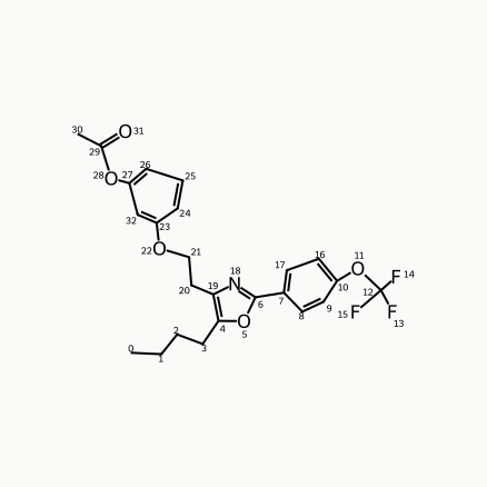 CCCCc1oc(-c2ccc(OC(F)(F)F)cc2)nc1CCOc1cccc(OC(C)=O)c1